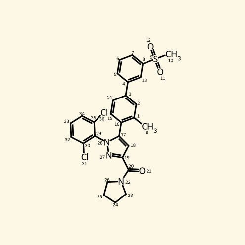 Cc1cc(-c2cccc(S(C)(=O)=O)c2)ccc1-c1cc(C(=O)N2CCCC2)nn1-c1c(Cl)cccc1Cl